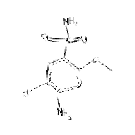 COc1cc(N)c(Cl)cc1S(N)(=O)=O